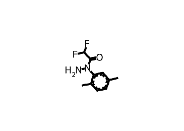 Cc1ccc(C)c(N(N)C(=O)C(F)F)c1